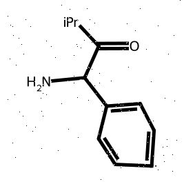 CC(C)C(=O)C(N)c1cc[c]cc1